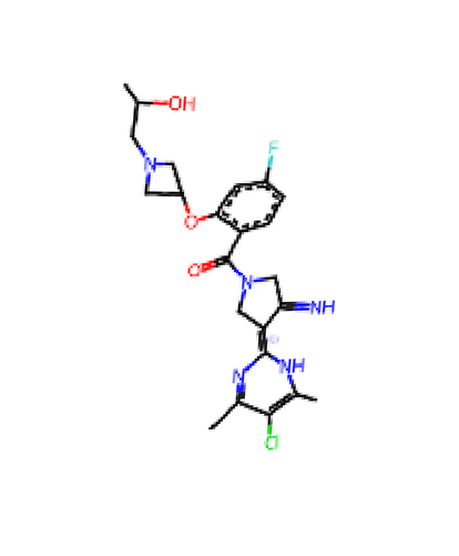 CC1=N/C(=C2\CN(C(=O)c3ccc(F)cc3OC3CN(CC(C)O)C3)CC2=N)NC(C)=C1Cl